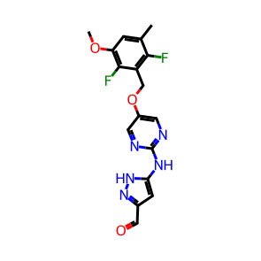 COc1cc(C)c(F)c(COc2cnc(Nc3cc(C=O)n[nH]3)nc2)c1F